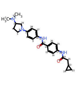 CN(C)C1CCN(c2ccc(NC(=O)c3ccc(NC(=O)CC4CC4)cc3)cc2)C1